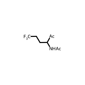 CC(=O)NC(CCC(F)(F)F)C(C)=O